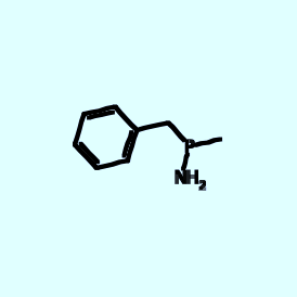 CP(N)Cc1ccccc1